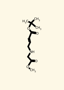 COC(=O)CNCC=CC(=O)OC(C)(C)C